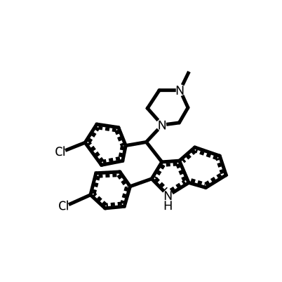 CN1CCN(C(c2ccc(Cl)cc2)c2c(-c3ccc(Cl)cc3)[nH]c3ccccc23)CC1